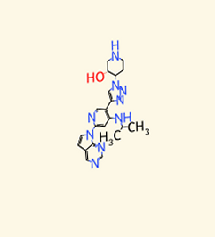 CC(C)Nc1cc(-n2ccc3cncnc32)ncc1-c1cn([C@H]2CCNC[C@H]2O)nn1